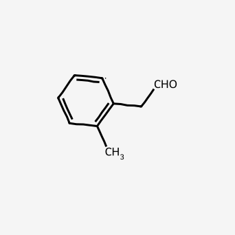 Cc1ccc[c]c1CC=O